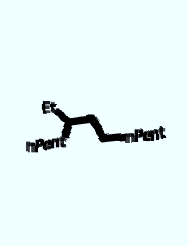 [CH2]CCCCCCC(CC)CCCC[CH2]